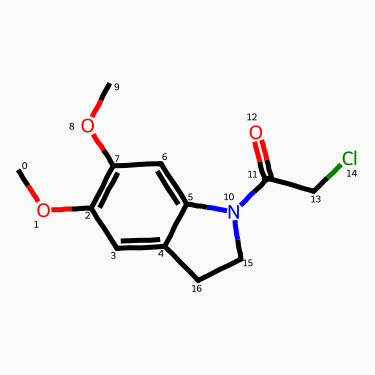 COc1cc2c(cc1OC)N(C(=O)CCl)CC2